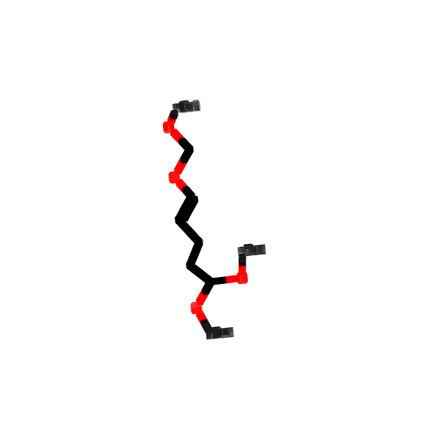 CCCCCCCCCCOC(CCC=COCOCCCCCCCC)OCCCCCCCCCC